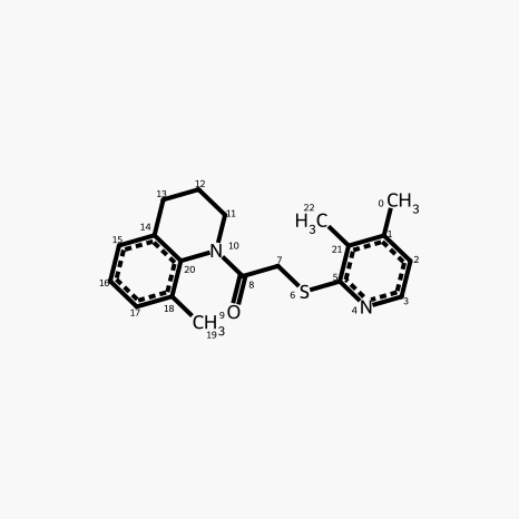 Cc1ccnc(SCC(=O)N2CCCc3cccc(C)c32)c1C